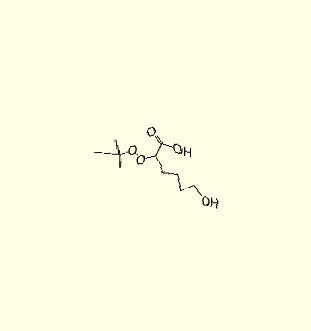 CC(C)(C)OOC(CCCCO)C(=O)O